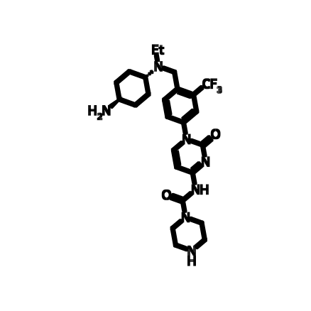 CCN(Cc1ccc(-n2ccc(NC(=O)N3CCNCC3)nc2=O)cc1C(F)(F)F)[C@H]1CC[C@H](N)CC1